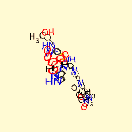 COc1cc(C[C@@H]2CCN(C3CC4(CCN(c5ccc(C(=O)NS(=O)(=O)c6ccc(NCC7CCC(C)(O)CC7)c([N+](=O)[O-])c6)c(N6c7cc8cc[nH]c8nc7O[C@H]7COCC[C@@H]76)c5)CC4)C3)[C@H](c3ccccc3C(C)C)C2)cnc1N1CCOCC1